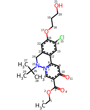 CCOC(=O)c1cn2c(cc1=O)-c1cc(Cl)c(OCCCO)cc1CN2C(C)(C)C